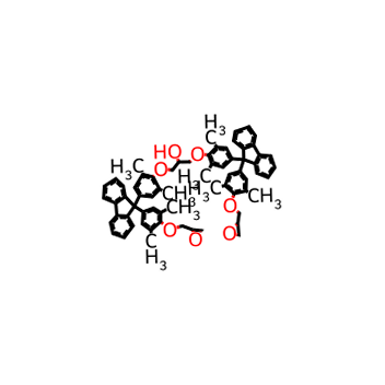 Cc1cc(C2(c3cc(C)c(OCC4CO4)c(C)c3)c3ccccc3-c3ccccc32)cc(C)c1OCC(O)COc1c(C)cc(C2(c3cc(C)c(OCC4CO4)c(C)c3)c3ccccc3-c3ccccc32)cc1C